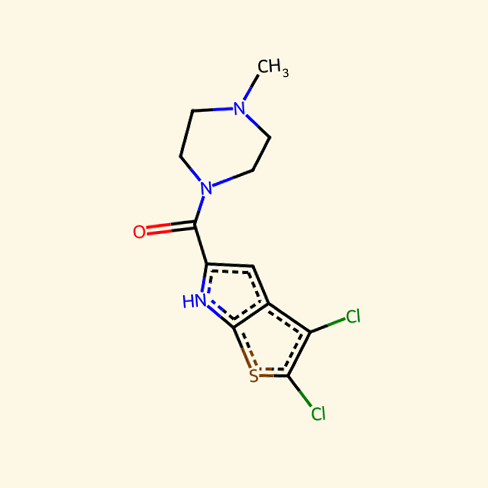 CN1CCN(C(=O)c2cc3c(Cl)c(Cl)sc3[nH]2)CC1